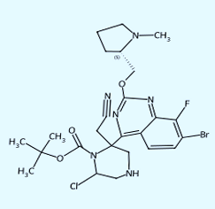 CN1CCC[C@H]1COc1nc(C2(CC#N)CNCC(Cl)N2C(=O)OC(C)(C)C)c2ccc(Br)c(F)c2n1